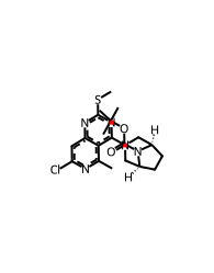 CSc1nc(N2C[C@H]3CC[C@@H](C2)N3C(=O)OC(C)(C)C)c2c(C)nc(Cl)cc2n1